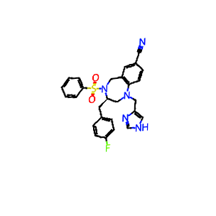 N#Cc1ccc2c(c1)CN(S(=O)(=O)c1ccccc1)[C@H](Cc1ccc(F)cc1)CN2Cc1c[nH]cn1